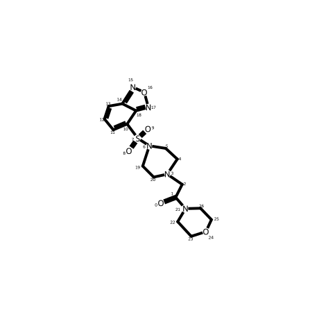 O=C(CN1CCN(S(=O)(=O)c2cccc3nonc23)CC1)N1CCOCC1